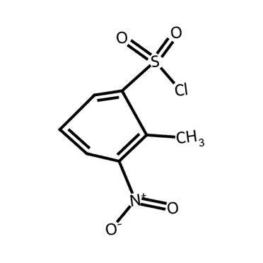 Cc1c([N+](=O)[O-])cccc1S(=O)(=O)Cl